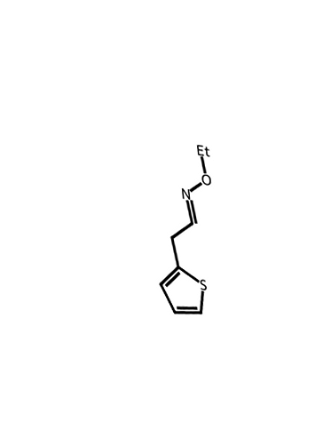 CCON=CCc1cccs1